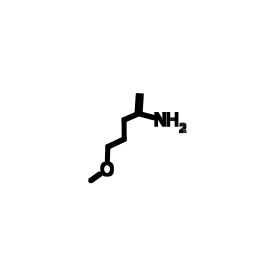 C=C(N)CCCOC